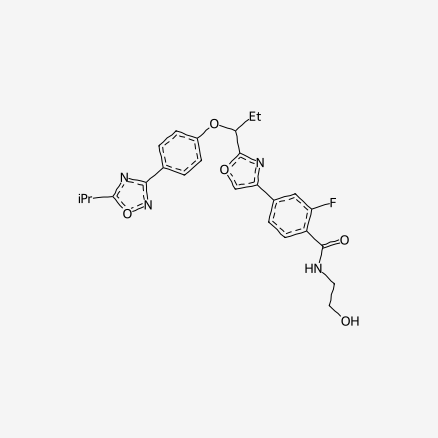 CCC(Oc1ccc(-c2noc(C(C)C)n2)cc1)c1nc(-c2ccc(C(=O)NCCO)c(F)c2)co1